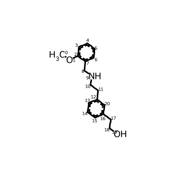 COc1ccccc1CNCCc1cccc(CCO)c1